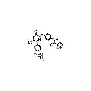 CCC1CC(=O)N(Cc2ccc(NC(=O)c3ccno3)cc2)N=C1c1ccc(S(C)(=O)=O)cc1